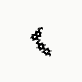 CSc1ccc2c(SCc3ccc(N4CCN(C)CC4)cc3)ccnc2c1